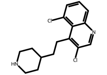 Clc1cnc2cccc(Cl)c2c1CCC1CCNCC1